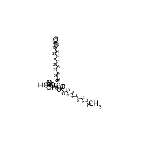 CCCCCCCCCCCCC(=O)O[C@H](COP(=O)(O)O)CSCCCCCCCCCCCCOC=O